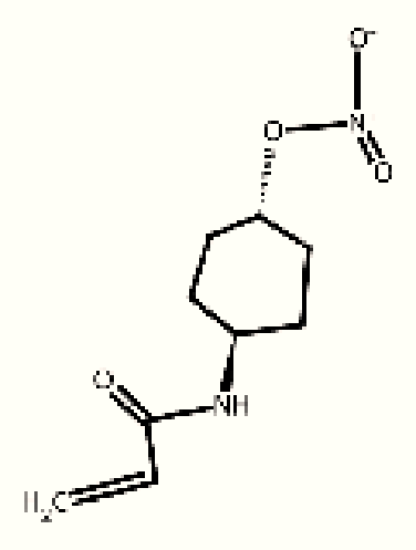 C=CC(=O)N[C@H]1CC[C@H](O[N+](=O)[O-])CC1